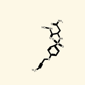 CC#CCOc1ccc(S(=O)(=O)NC(CC(N)=O)C(=O)NO)cc1